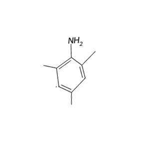 Cc1[c]c(C)c(N)c(C)c1